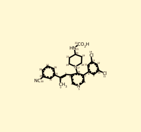 CC(=Cc1cncc(-c2cc(Cl)cc(Cl)c2)c1N1CCC(NC(=O)O)CC1)c1cccc(C#N)c1